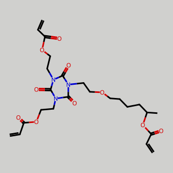 C=CC(=O)OCCn1c(=O)n(CCOCCCCC(C)OC(=O)C=C)c(=O)n(CCOC(=O)C=C)c1=O